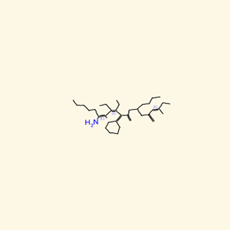 C=C(/C=C(\C)CC)CC(CCCC)CC(=C)C(=C1CCCCC1)/C(CC)=C(CC)\C(C)=C(\N)CCCCC